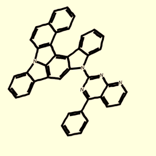 c1ccc(-c2nc(-n3c4ccccc4c4c5c6c7ccccc7ccc6n6c7ccccc7c(cc43)c56)nc3ncccc23)cc1